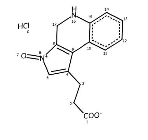 Cl.O=C([O-])CCC1=C[N+](=O)C2=C1c1ccccc1NC2